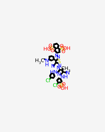 CCNc1cccc(-c2c(/N=N/c3cc(S(=O)(=O)O)c4cccc(S(=O)(=O)O)c4c3)sc(N=Nc3c(Nc4ccc(Cl)cc4)nc(Nc4ccc(Cl)c(S(=O)(=O)O)c4)c(C#N)c3C)c2C#N)c1